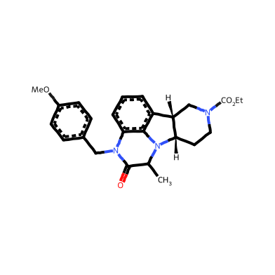 CCOC(=O)N1CC[C@H]2[C@@H](C1)c1cccc3c1N2C(C)C(=O)N3Cc1ccc(OC)cc1